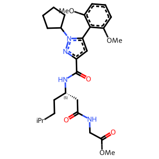 COC(=O)CNC(=O)C[C@H](CCC(C)C)NC(=O)c1cc(-c2c(OC)cccc2OC)n(C2CCCC2)n1